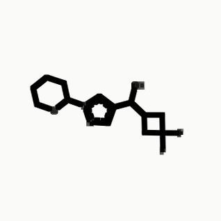 OC(c1cnn(C2CCCCO2)c1)C1CC(F)(F)C1